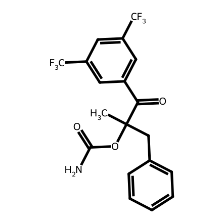 CC(Cc1ccccc1)(OC(N)=O)C(=O)c1cc(C(F)(F)F)cc(C(F)(F)F)c1